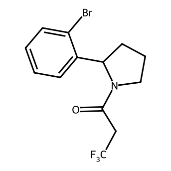 O=C(CC(F)(F)F)N1CCCC1c1ccccc1Br